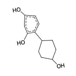 Oc1ccc(C2CCC(O)CC2)c(O)c1